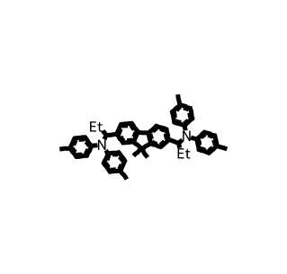 CCC(c1ccc2c(c1)C(C)(C)c1cc(C(CC)N(c3ccc(C)cc3)c3ccc(C)cc3)ccc1-2)N(c1ccc(C)cc1)c1ccc(C)cc1